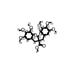 COC(=O)C(Cc1cc(OC)c(OC)c(OC)c1)(Cc1cc(OC)c(OC)c(OC)c1)C(=O)OC